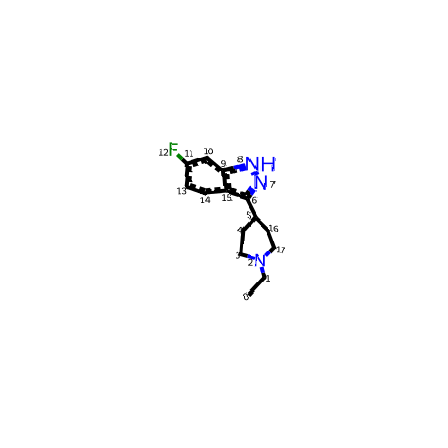 CCN1CCC(c2n[nH]c3cc(F)ccc23)CC1